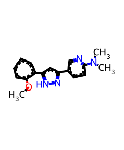 COc1ccccc1-c1cc(-c2ccc(N(C)C)nc2)n[nH]1